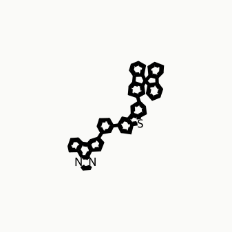 c1cc(-c2ccc3sc4ccc(-c5ccc6c(c5)C5(c7ccccc7-c7ccccc75)c5ccccc5-6)cc4c3c2)cc(-c2ccc3c(c2)c2ccccc2c2nccnc32)c1